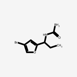 BC(=O)NC(CC)c1cc(Br)co1